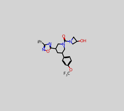 CC(C)c1noc(C2CC(c3ccc(OC(F)(F)F)cc3)CN(C(=O)N3CC(O)C3)C2)n1